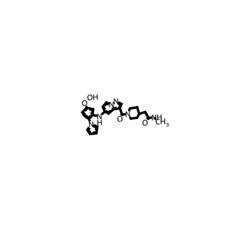 CNC(=O)CC1CCN(C(=O)c2cnn3ccc(Nc4cc(OO)ccc4-n4cccc4)cc23)CC1